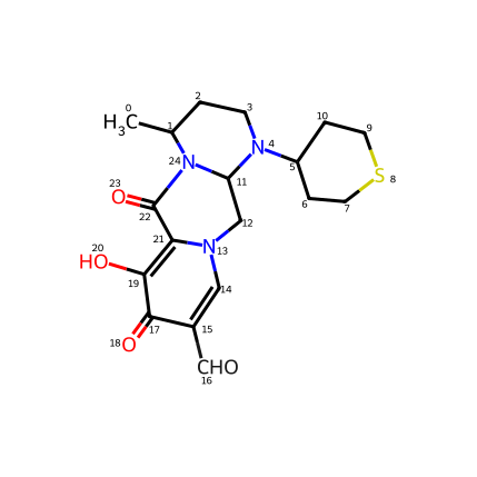 CC1CCN(C2CCSCC2)C2Cn3cc(C=O)c(=O)c(O)c3C(=O)N12